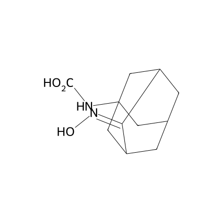 O=C(O)NC12CC3CC(C1)C(=NO)C(C3)C2